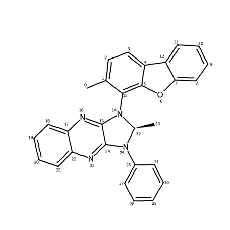 Cc1ccc2c(oc3ccccc32)c1N1c2nc3ccccc3nc2N(c2ccccc2)[C@@H]1C